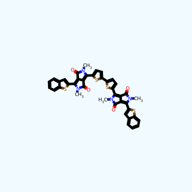 CN1C(=O)C2=C(c3cc4ccccc4s3)N(C)C(=O)C2=C1c1ccc(-c2ccc(C3=C4C(=O)N(C)C(c5cc6ccccc6s5)=C4C(=O)N3C)s2)s1